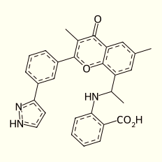 Cc1cc(C(C)Nc2ccccc2C(=O)O)c2oc(-c3cccc(-c4cc[nH]n4)c3)c(C)c(=O)c2c1